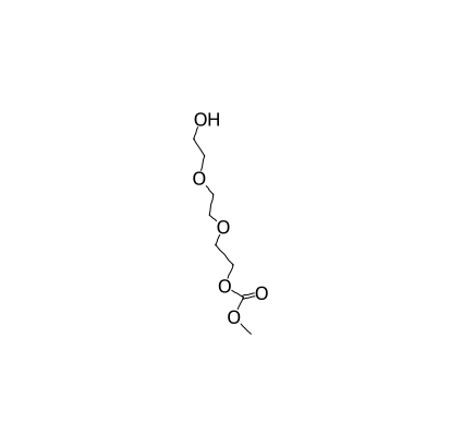 COC(=O)OCCOCCOCCO